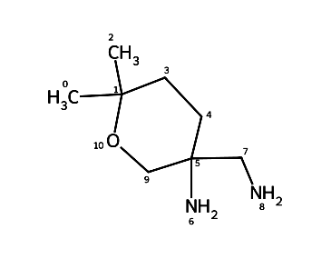 CC1(C)CCC(N)(CN)CO1